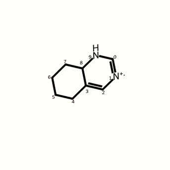 C1=[N+]C=C2CCCCC2N1